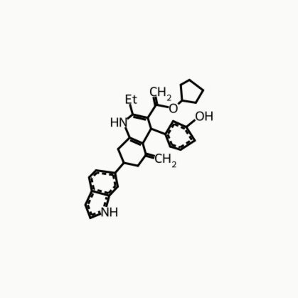 C=C1CC(c2ccc3cc[nH]c3c2)CC2=C1C(c1cccc(O)c1)C(C(=C)OC1CCCC1)=C(CC)N2